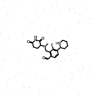 CN(Cc1c(C=O)ccc(C2CCCCN2)c1F)C1CCC(=O)NC1=O